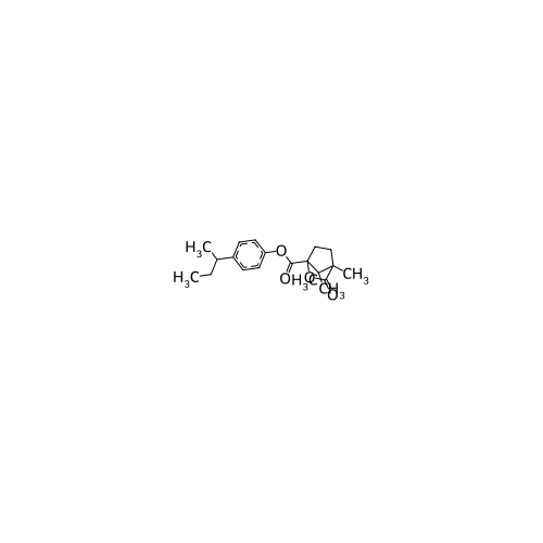 CCC(C)c1ccc(OC(=O)C23CCC(C)(C(=O)O2)C3(C)C)cc1